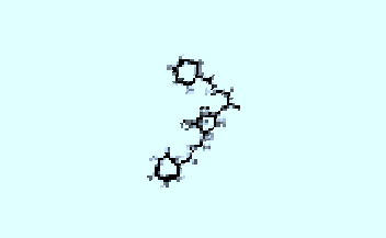 CC(CSCc1ccccc1)C1CC(CSCc2ccccc2)C(=O)O1